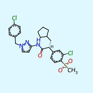 CS(=O)(=O)c1ccc([C@@H](CC2CCCC2)C(=O)Nc2ccn(Cc3ccc(Cl)cc3)n2)cc1Cl